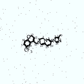 Cc1cn(C2=CN3CCN(CC4=CCOc5ccc(C(F)(F)F)cc54)C=C3C=C2)cn1